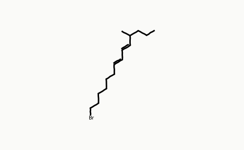 CCCC(C)C=CC=CCCCCCCBr